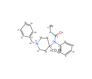 CCOC(=O)C1(N(C(=O)CC(C)C)c2ccccc2)CCN(Cc2ccccc2)CC1